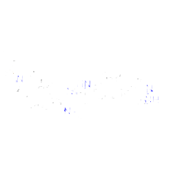 CCSN1Cc2ccc(C3=NCCC(Nc4ccc(-c5cn[nH]c5)cc4)=N3)cc2C1